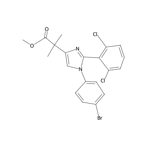 COC(=O)C(C)(C)c1cn(-c2ccc(Br)cc2)c(-c2c(Cl)cccc2Cl)n1